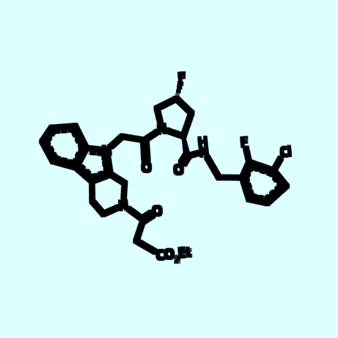 CCOC(=O)CC(=O)N1CCc2c(n(CC(=O)N3C[C@H](F)C[C@H]3C(=O)NCc3cccc(Cl)c3F)c3ccccc23)C1